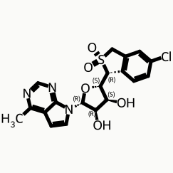 Cc1ncnc2c1ccn2[C@@H]1O[C@H]([C@H]2c3ccc(Cl)cc3CS2(=O)=O)[C@@H](O)[C@H]1O